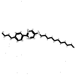 CCCCCCCCCCCOc1cnc(-c2ccc(CCCC)cc2)nc1